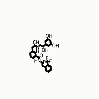 C[C@H](Cc1cccc(C(=O)NCCc2ccccc2C(F)(F)F)c1)NC[C@H](O)c1cc(O)cc(O)c1